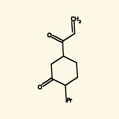 C=CC(=O)C1CCC(C(C)C)C(=O)C1